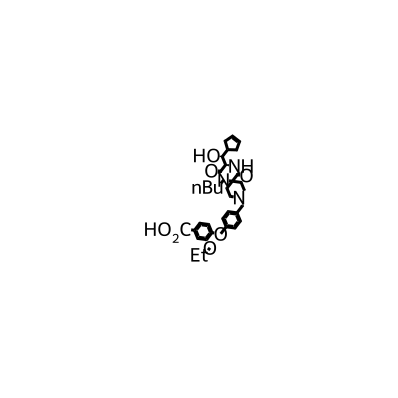 CCCCN1C(=O)[C@@H]([C@H](O)C2CC=CC2)NC(=O)C12CCN(Cc1ccc(Oc3ccc(C(=O)O)cc3OCC)cc1)CC2